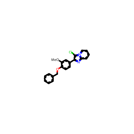 COc1cc(-c2nc3ccccn3c2Cl)ccc1OCc1ccccc1